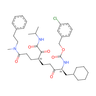 CC(C)NC(=O)C(=O)[C@@H](CCC(=O)[C@H](CC1CCCCC1)NC(=O)OCc1cccc(Cl)c1)CCC(=O)N(C)CCc1ccccc1